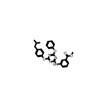 COC(=O)c1cccc(Nc2nc(Oc3ccccc3)nc(Oc3ccc(CC(C)C)cc3)n2)c1